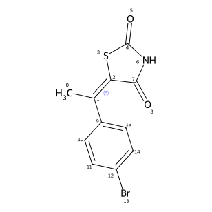 C/C(=C1\SC(=O)NC1=O)c1ccc(Br)cc1